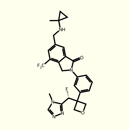 Cn1cnnc1[C@H](F)C1(c2cccc(N3Cc4c(cc(CNC5(C)CC5)cc4C(F)(F)F)C3=O)c2)COC1